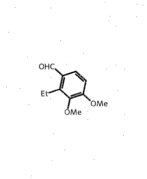 CCc1c(C=O)ccc(OC)c1OC